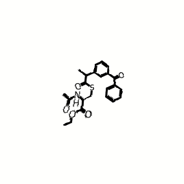 CCOC(=O)[C@H](CSC(=O)C(C)c1cccc(C(=O)c2ccccc2)c1)NC(C)=O